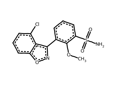 COc1c(-c2noc3cccc(Cl)c23)cccc1S(N)(=O)=O